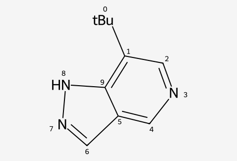 CC(C)(C)c1cncc2cn[nH]c12